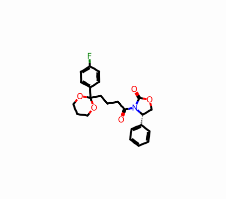 O=C(CCCC1(c2ccc(F)cc2)OCCCO1)N1C(=O)OC[C@@H]1c1ccccc1